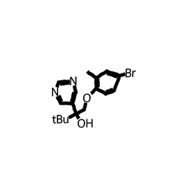 Cc1cc(Br)ccc1OCC(O)(c1cncnc1)C(C)(C)C